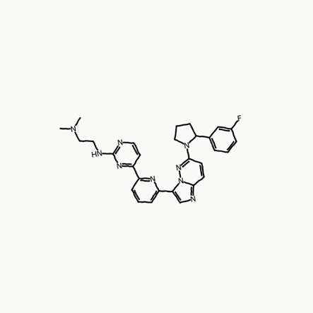 CN(C)CCNc1nccc(-c2cccc(-c3cnc4ccc(N5CCCC5c5cccc(F)c5)nn34)n2)n1